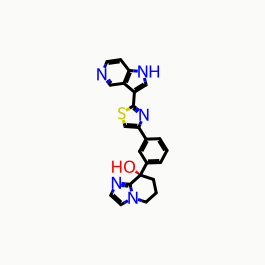 O[C@@]1(c2cccc(-c3csc(-c4c[nH]c5ccncc45)n3)c2)CCCn2ccnc21